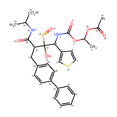 CC(OC(=O)NC(c1ccsc1)C(O)(P=O)C(Cc1ccc(-c2ccccc2)cc1)C(=O)NC(C)C(=O)O)OC(=O)C(C)C